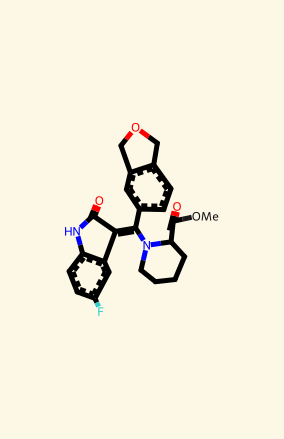 COC(=O)C1CCCCN1C(=C1C(=O)Nc2ccc(F)cc21)c1ccc2c(c1)COC2